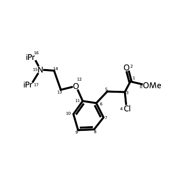 COC(=O)C(Cl)Cc1ccccc1OCCN(C(C)C)C(C)C